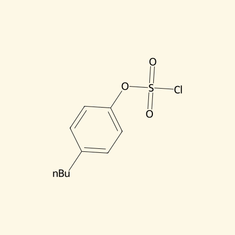 CCCCc1ccc(OS(=O)(=O)Cl)cc1